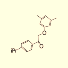 Cc1cc(C)cc(OCC(=O)c2ccc(C(C)C)cc2)c1